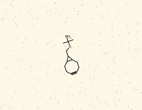 CC(C)(N)OCC1C2CCC#CCCC21